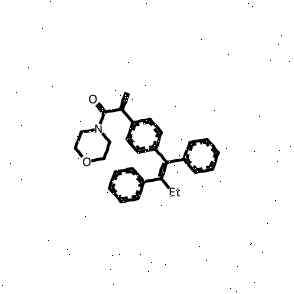 C=C(C(=O)N1CCOCC1)c1ccc(C(=C(CC)c2ccccc2)c2ccccc2)cc1